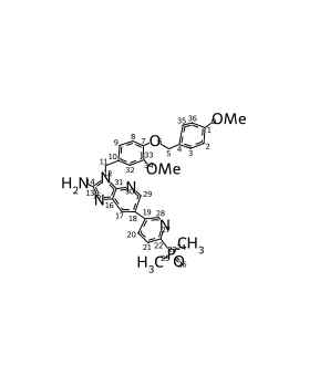 COc1ccc(COc2ccc(Cn3c(N)nc4cc(-c5ccc(P(C)(C)=O)nc5)cnc43)cc2OC)cc1